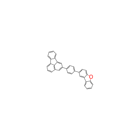 c1ccc2c(c1)-c1cccc3cc(-c4ccc(-c5ccc6oc7ccccc7c6c5)cc4)cc-2c13